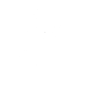 c1ccc2c(c1)cc(-c1ccc(N(c3ccc4oc5ccccc5c4c3)c3cc4ccccc4c4ccccc34)cc1)c1ccccc12